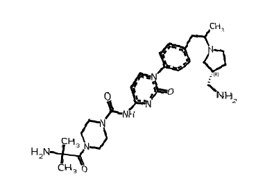 CC(Cc1ccc(-n2ccc(NC(=O)N3CCN(C(=O)C(C)(C)N)CC3)nc2=O)cc1)N1CC[C@H](CN)C1